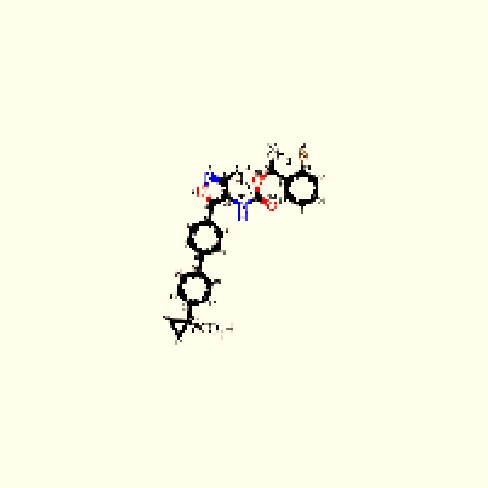 Cc1noc(-c2ccc(-c3ccc(C4(C(=O)O)CC4)cc3)cc2)c1NC(=O)OC(C)c1ccccc1Br